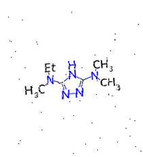 CCN(C)c1nnc(N(C)C)[nH]1